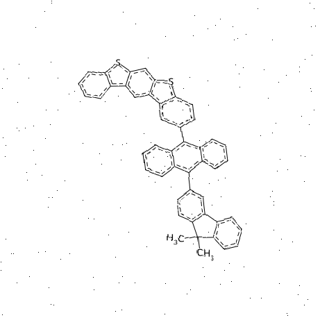 CC1(C)c2ccccc2-c2cc(-c3c4ccccc4c(-c4ccc5sc6cc7sc8ccccc8c7cc6c5c4)c4ccccc34)ccc21